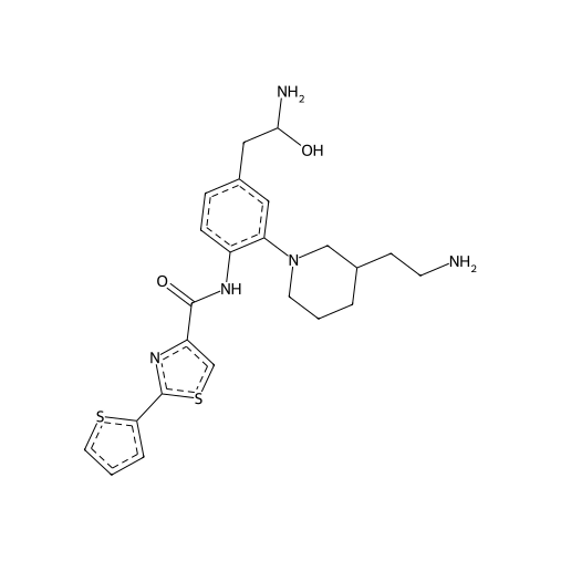 NCCC1CCCN(c2cc(CC(N)O)ccc2NC(=O)c2csc(-c3cccs3)n2)C1